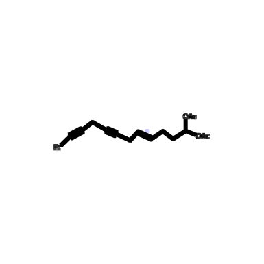 CCC#CCC#CC/C=C/CCC(OC(C)=O)OC(C)=O